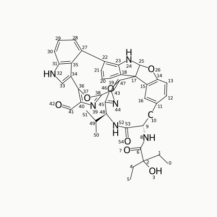 CCC(O)(CC)C(=O)N[C@H]1Cc2ccc3c(c2)C24c5cccc(c5NC2O3)-c2cccc3[nH]cc(c23)-c2oc(nc2C=O)-c2nc(oc24)[C@H](C(C)C)NC1=O